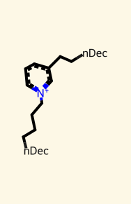 CCCCCCCCCCCCCC[n+]1cccc(CCCCCCCCCCCC)c1